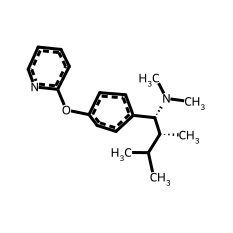 CC(C)[C@@H](C)[C@H](c1ccc(Oc2ccccn2)cc1)N(C)C